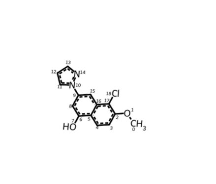 COc1ccc2c(O)cc(-n3cccn3)cc2c1Cl